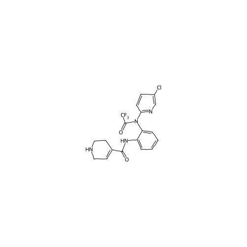 O=C(Nc1ccccc1N(C(=O)C(F)(F)F)c1ccc(Cl)cn1)C1=CCNCC1